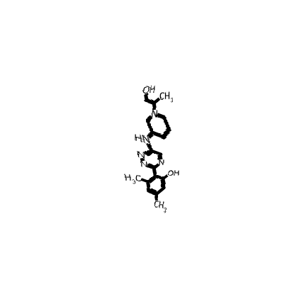 Cc1cc(C)c(-c2ncc(NC3CCCN(C(C)CO)C3)nn2)c(O)c1